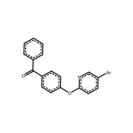 CC(=O)c1ccc(Oc2ccc(C(=O)c3ccccc3)cc2)nc1